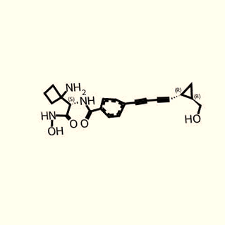 NC1([C@H](NC(=O)c2ccc(C#CC#C[C@@H]3C[C@H]3CO)cc2)C(=O)NO)CCC1